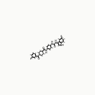 O=C(Nc1ccc(NC(=O)C2CCN(C(=O)c3cccc(F)c3)CC2)cc1)Nc1c[nH]c2ccc(F)cc12